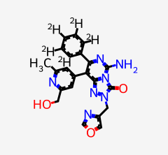 [2H]c1c([2H])c([2H])c(-c2nc(N)n3c(=O)n(Cc4cocn4)nc3c2-c2cc(C)nc(CO)c2)c([2H])c1[2H]